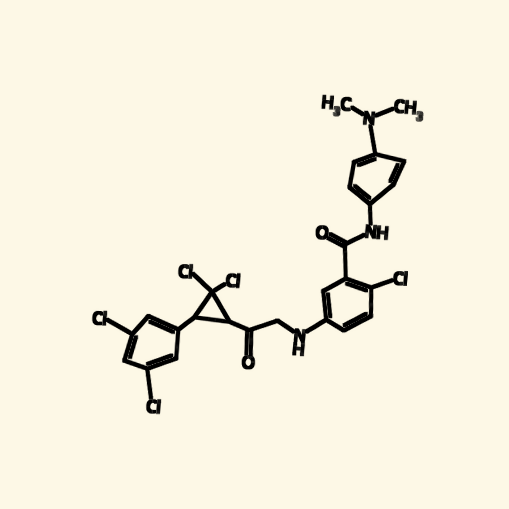 CN(C)c1ccc(NC(=O)c2cc(NCC(=O)C3C(c4cc(Cl)cc(Cl)c4)C3(Cl)Cl)ccc2Cl)cc1